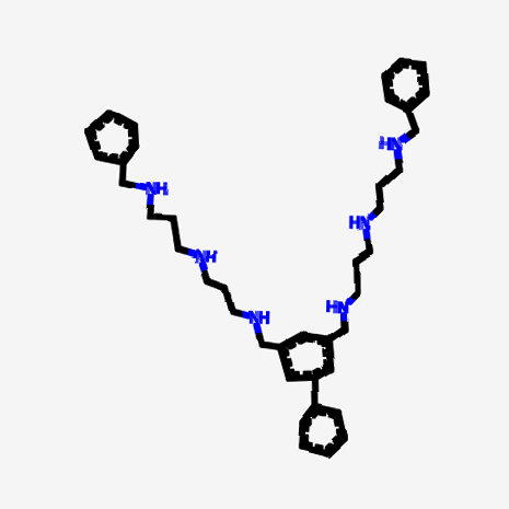 c1ccc(CNCCCNCCCNCc2cc(CNCCCNCCCNCc3ccccc3)cc(-c3ccccc3)c2)cc1